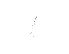 C[S+]([O-])N(CCCCc1nc2cc(C(F)(F)F)c(Cl)cc2[nH]1)C[C@@H]1CC[C@H](n2ccc3c(N)ncnc32)C1